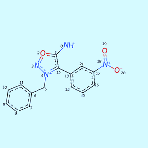 [NH-]c1on[n+](Cc2ccccc2)c1-c1cccc([N+](=O)[O-])c1